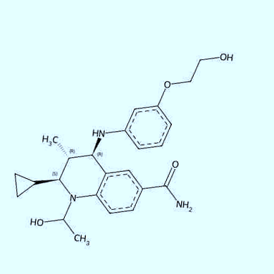 CC(O)N1c2ccc(C(N)=O)cc2[C@H](Nc2cccc(OCCO)c2)[C@@H](C)[C@@H]1C1CC1